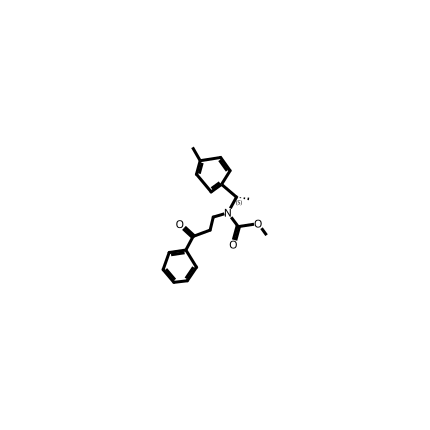 COC(=O)N(CCC(=O)c1ccccc1)[C@@H](C)c1ccc(C)cc1